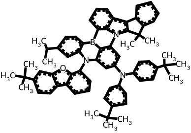 CC(C)c1ccc2c(c1)N(c1cccc3c1oc1cc(C(C)(C)C)ccc13)c1cc(N(c3ccc(C(C)(C)C)cc3)c3ccc(C(C)(C)C)cc3)cc3c1B2c1cccc2c4c(n-3c12)C(C)(C)c1ccccc1-4